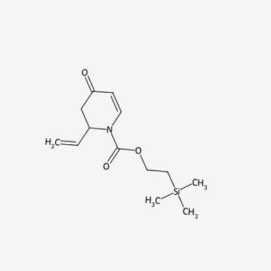 C=CC1CC(=O)C=CN1C(=O)OCC[Si](C)(C)C